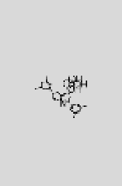 Cc1cc(C)cc(-c2ccc3nc(-c4cc(C)cc(C)c4)ccc3c2)c1.O=P(O)(O)O